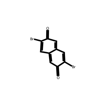 O=C1C=C2C=C(Br)C(=O)C=C2C=C1Br